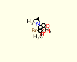 CCN(CC1CC1)C1Cc2c(Br)cc(OC)c(O)c2[C@]2(C)CC(=O)CCC12